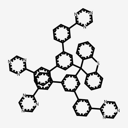 c1cc(-c2cc(-c3cccc(-c4ncncn4)c3)cc(C3(c4cc(-c5cccc(-c6ncncn6)c5)cc(-c5cccc(-c6ncncn6)c5)c4)c4ccccc4Sc4ccccc43)c2)cc(-c2ncncn2)c1